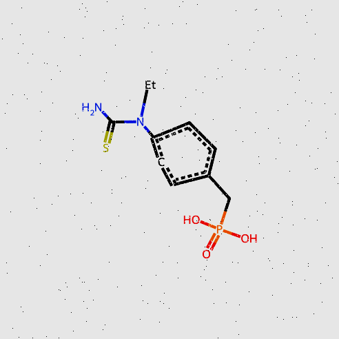 CCN(C(N)=S)c1ccc(CP(=O)(O)O)cc1